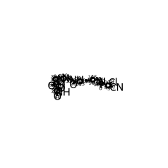 Cc1c(-c2ccc(C#N)c(Cl)c2)nn(Cc2ccc(C#C[C@H]3CC[C@H](C(=O)NCCN4CCN(c5cccc6c5C(=O)N(C5CCC(=O)NC5=O)C6=O)CC4)CC3)cc2)c1C